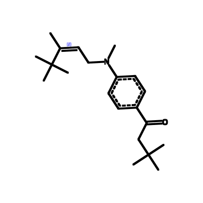 C/C(=C/CN(C)c1ccc(C(=O)CC(C)(C)C)cc1)C(C)(C)C